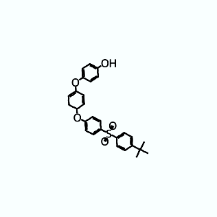 CC(C)(C)c1ccc(S(=O)(=O)c2ccc(OC3C=CC(Oc4ccc(O)cc4)=CC3)cc2)cc1